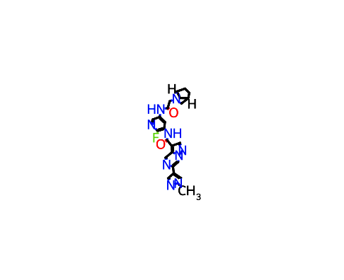 Cn1cc(-c2cn3ncc(C(=O)Nc4cc(NC(=O)CN5C[C@@H]6CC[C@H]5C6)cnc4F)c3cn2)cn1